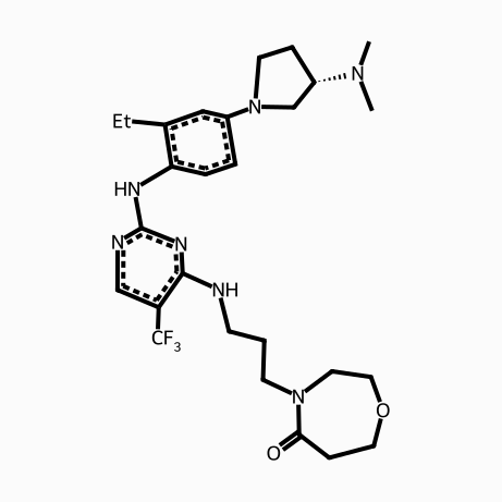 CCc1cc(N2CC[C@H](N(C)C)C2)ccc1Nc1ncc(C(F)(F)F)c(NCCCN2CCOCCC2=O)n1